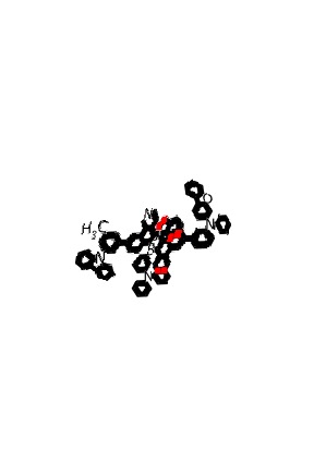 Cc1cc(-c2ccc3c4c(c5ccncc5c3c2)[Si]2(c3ccccc3-c3ccccc32)c2c(c3ccccc3c3cc(-c5cccc(N(c6ccccc6)c6ccc7c(c6)oc6ccccc67)c5)ccc23)B4c2cccc(N(c3ccccc3)c3ccccc3)c2)cc(-n2c3ccccc3c3ccccc32)c1